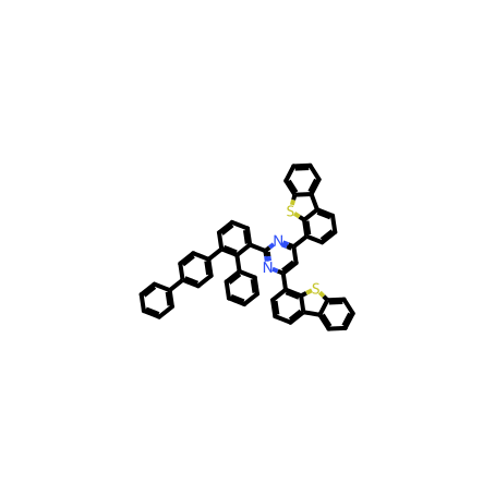 c1ccc(-c2ccc(-c3cccc(-c4nc(-c5cccc6c5sc5ccccc56)cc(-c5cccc6c5sc5ccccc56)n4)c3-c3ccccc3)cc2)cc1